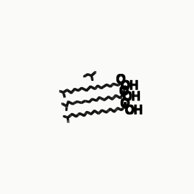 CC(C)CCCCCCCCCCCCCCC(=O)O.CC(C)CCCCCCCCCCCCCCC(=O)O.CC(C)CCCCCCCCCCCCCCC(=O)O.CCC(C)C